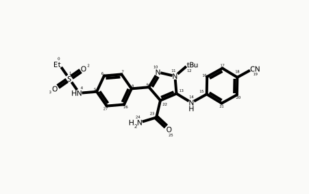 CCS(=O)(=O)Nc1ccc(-c2nn(C(C)(C)C)c(Nc3ccc(C#N)cc3)c2C(N)=O)cc1